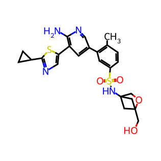 Cc1ccc(S(=O)(=O)NC23COC(CO)(C2)C3)cc1-c1cnc(N)c(-c2cnc(C3CC3)s2)c1